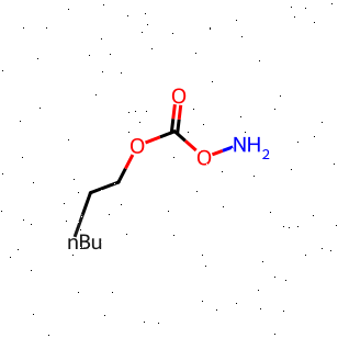 CCCCCCOC(=O)ON